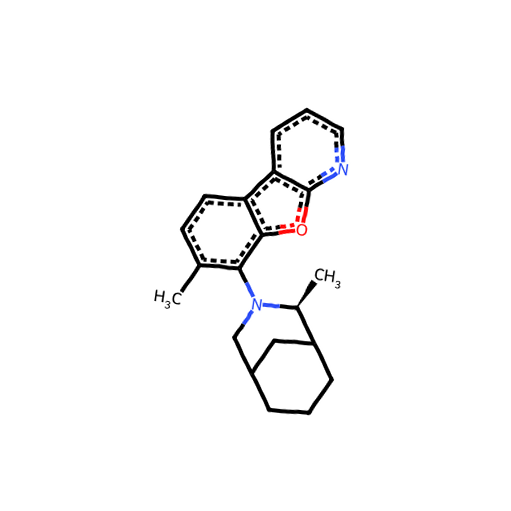 Cc1ccc2c(oc3ncccc32)c1N1CC2CCCC(C2)[C@@H]1C